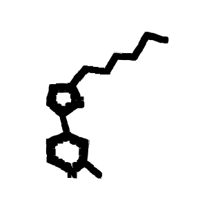 CCCCCCc1ccc(-c2ccnc(C)c2)s1